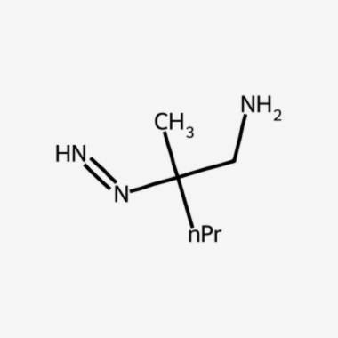 CCCC(C)(CN)N=N